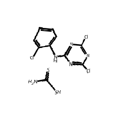 Clc1nc(Cl)nc(Nc2ccccc2Cl)n1.NC(=S)S